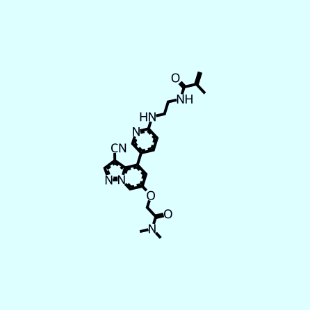 C=C(C)C(=O)NCCNc1ccc(-c2cc(OCC(=O)N(C)C)cn3ncc(C#N)c23)cn1